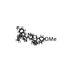 COc1ccc(C(Cl)c2[nH]nnc2-c2ccnc(-c3nc[nH]c3Cc3ccc(F)cc3OCC3CC3)c2)cc1